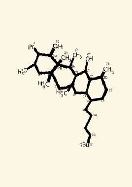 CC(C)C1C(C)CC2(C)CC3(C)CC4C(CCCCC(C)(C)C)CCC(C)C4C(O)C3C(C)C2(C)C1O